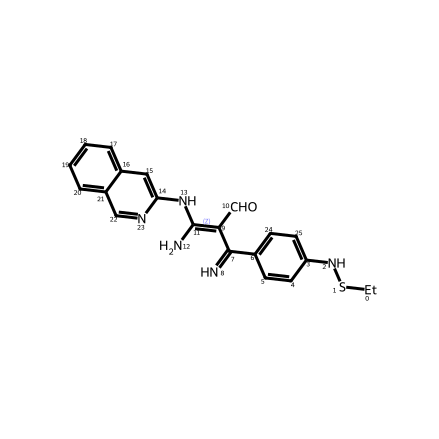 CCSNc1ccc(C(=N)/C(C=O)=C(\N)Nc2cc3ccccc3cn2)cc1